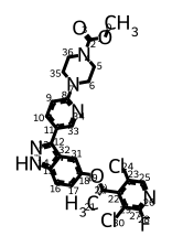 COC(=O)N1CCN(c2ccc(-c3n[nH]c4ccc(O[C@@H](C)c5c(Cl)cnc(F)c5Cl)cc34)cn2)CC1